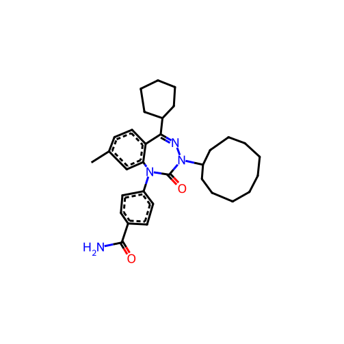 Cc1ccc2c(c1)N(c1ccc(C(N)=O)cc1)C(=O)N(C1CCCCCCCCC1)N=C2C1CCCCC1